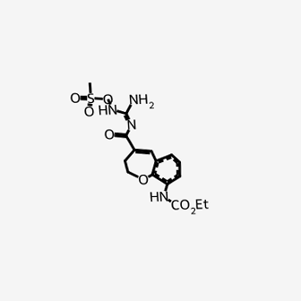 CCOC(=O)Nc1cccc2c1OCCC(C(=O)N=C(N)NOS(C)(=O)=O)=C2